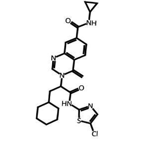 C=C1c2ccc(C(=O)NC3CC3)cc2N=CN1C(CC1CCCCC1)C(=O)Nc1ncc(Cl)s1